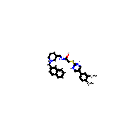 COc1ccc(-c2cnc(SCC(=O)NCC3CCCN(Cc4ccc5ccccc5c4)C3)nc2)cc1OC